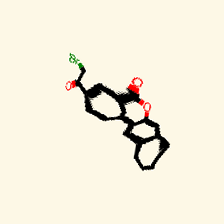 O=C(CBr)C1=CC2C(=O)Oc3cc4c(cc3=C2C=C1)CCCC=4